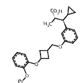 CC(C)Oc1ccccc1OC1CC(COc2cccc([C@H](C3CC3)[C@H](C)C(=O)O)c2)C1